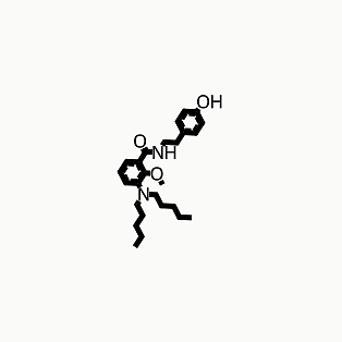 CCCCCN(CCCCC)c1cccc(C(=O)NCCc2ccc(O)cc2)c1OC